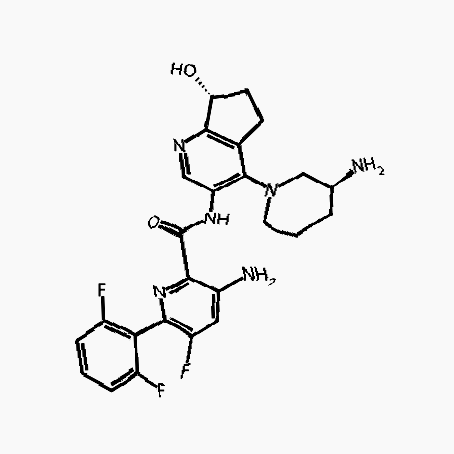 Nc1cc(F)c(-c2c(F)cccc2F)nc1C(=O)Nc1cnc2c(c1N1CCC[C@H](N)C1)CC[C@H]2O